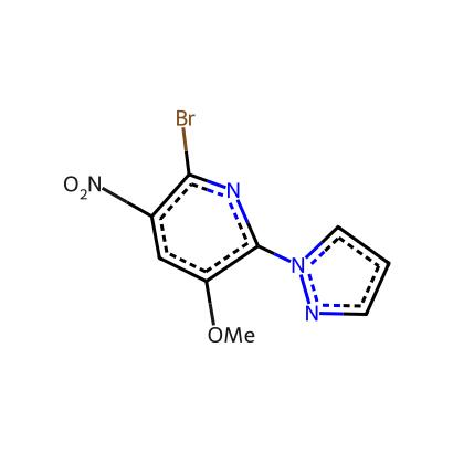 COc1cc([N+](=O)[O-])c(Br)nc1-n1cccn1